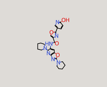 O=C(Nc1cc2oc(N3CCCCC3)nc2nc1N1CCCCC1)c1coc(-c2ccc(O)nc2)n1